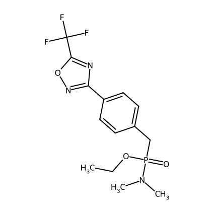 CCOP(=O)(Cc1ccc(-c2noc(C(F)(F)F)n2)cc1)N(C)C